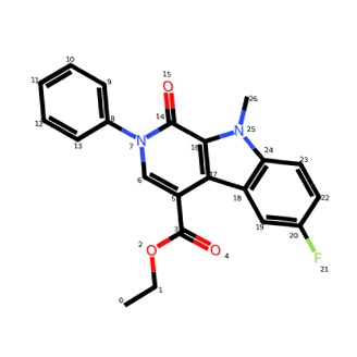 CCOC(=O)c1cn(-c2ccccc2)c(=O)c2c1c1cc(F)ccc1n2C